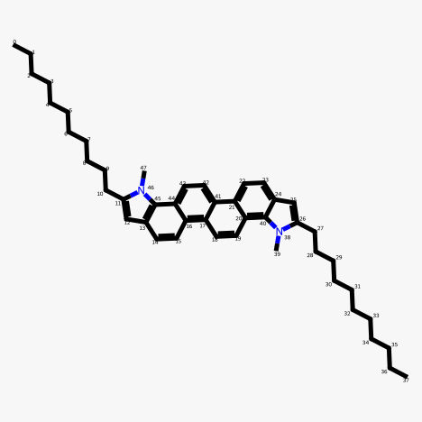 CCCCCCCCCCCc1cc2ccc3c4ccc5c(ccc6cc(CCCCCCCCCCC)n(C)c65)c4ccc3c2n1C